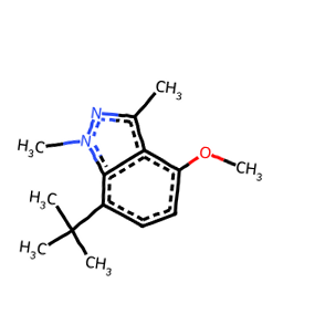 COc1ccc(C(C)(C)C)c2c1c(C)nn2C